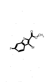 COC(=O)c1sc2cc(F)ccc2c1Br